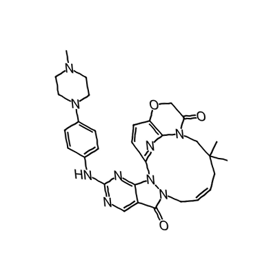 CN1CCN(c2ccc(Nc3ncc4c(=O)n5n(c4n3)-c3ccc4c(n3)N(CC(C)(C)C/C=C\C5)C(=O)CO4)cc2)CC1